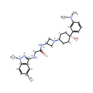 CN(C)c1cccc([C@]2(O)CC[C@H](N3CC(NC(=O)CNc4nn(C)c5ccc(C(F)(F)F)cc45)C3)CC2)c1